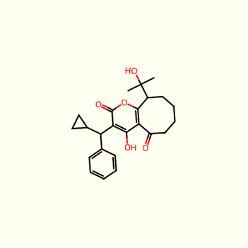 CC(C)(O)C1CCCCC(=O)c2c1oc(=O)c(C(c1ccccc1)C1CC1)c2O